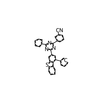 N#Cc1cccc(-c2nc(-c3ccccc3)nc(-c3cc(-c4ccccc4)c4c(c3)sc3ccccc34)n2)c1